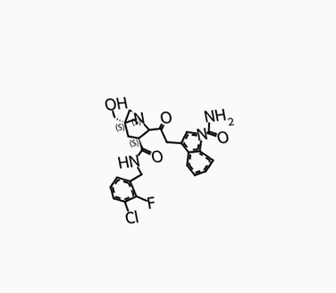 NC(=O)n1cc(CC(=O)C2[C@@H](C(=O)NCc3cccc(Cl)c3F)C[C@@]3(CO)C[N@]23)c2ccccc21